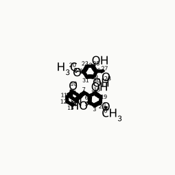 COc1cc(O)c(C=C2C(=O)C3CCN2CC3)c(O)c1.COc1cc(O)c(C=O)c(O)c1